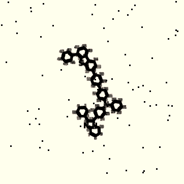 c1ccc(-c2nc3ccccn3c2-c2ccc(N(c3ccccc3)c3ccc(-c4ccc(-c5ccc6c(c5)sc5c(-c7ccccc7)cccc56)cc4)cc3)cc2)cc1